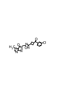 Cn1cnc2ncn(Cc3nc(C4CC(C(=O)c5cccc(Cl)c5)C4)no3)c(=O)c21